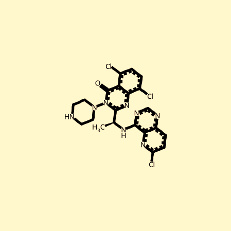 C[C@H](Nc1ncnc2ccc(Cl)nc12)c1nc2c(Cl)ccc(Cl)c2c(=O)n1N1CCNCC1